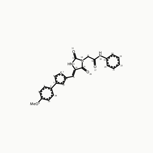 COc1ccc(-c2csc(/C=C3\NC(=O)N(CC(=O)Nc4ccccc4)C3=O)c2)cc1